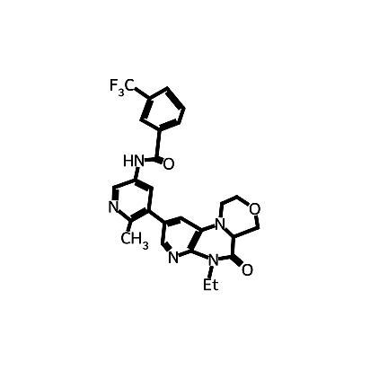 CCN1C(=O)C2COCCN2c2cc(-c3cc(NC(=O)c4cccc(C(F)(F)F)c4)cnc3C)cnc21